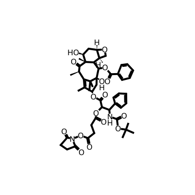 CC1=C2[C@@H](C)C(=O)[C@@]3(C)[C@H](C(OC(=O)c4ccccc4)[C@](O)(C[C@@H]1OC(=O)C(OC(=O)CCC(=O)ON1C(=O)CCC1=O)C(NC(=O)OC(C)(C)C)c1ccccc1)C2(C)C)[C@]1(C)CO[C@@H]1C[C@@H]3O